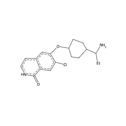 CCC(N)C1CCC(Oc2cc3cc[nH]c(=O)c3cc2Cl)CC1